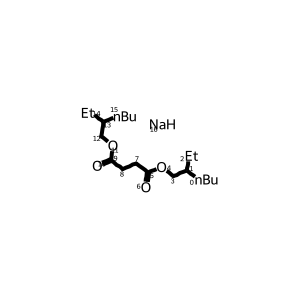 CCCCC(CC)COC(=O)CCC(=O)OCC(CC)CCCC.[NaH]